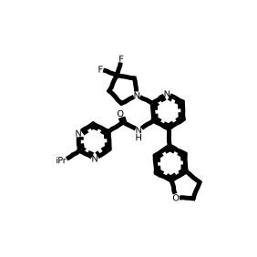 CC(C)c1ncc(C(=O)Nc2c(-c3ccc4c(c3)CCO4)ccnc2N2CCC(F)(F)C2)cn1